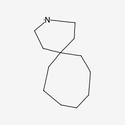 C1CCCC2(CCC1)CC[N]CC2